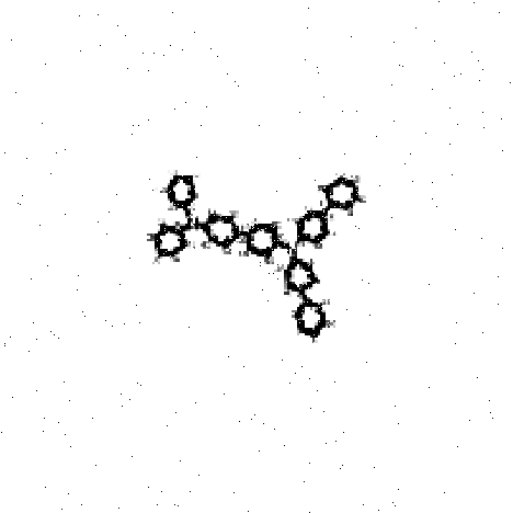 c1ccc(-c2ccc(N(c3ccc(-c4ccccc4)cc3)c3ccc(-c4ccc(N(c5ccccc5)c5ccccc5)cc4)cc3)cc2)cc1